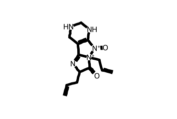 C=CCC1N=C2C3=C(NCNC3)[N+](=O)[N+]2(CC=C)C1=O